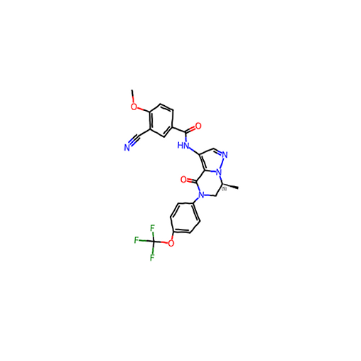 COc1ccc(C(=O)Nc2cnn3c2C(=O)N(c2ccc(OC(F)(F)F)cc2)C[C@@H]3C)cc1C#N